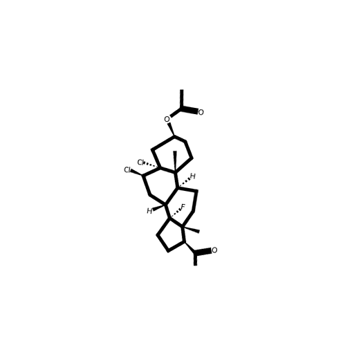 CC(=O)O[C@H]1CC[C@]2(C)[C@H]3CC[C@]4(C)[C@@H](C(C)=O)CC[C@@]4(F)[C@@H]3C[C@@H](Cl)[C@@]2(Cl)C1